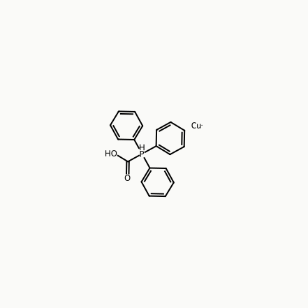 O=C(O)[PH](c1ccccc1)(c1ccccc1)c1ccccc1.[Cu]